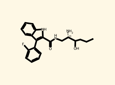 CCCC(O)[C@@H](N)CNC(=O)c1[nH]c2ccccc2c1-c1ccccc1F